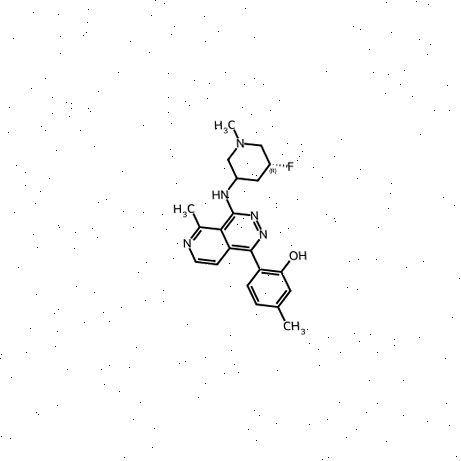 Cc1ccc(-c2nnc(NC3C[C@@H](F)CN(C)C3)c3c(C)nccc23)c(O)c1